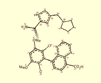 COc1cc(OC)c(Cl)c(-c2ccc(C(=O)O)c3nccnc23)c1Cl.NC(=O)c1nc(CN2CCCC2)c[nH]1